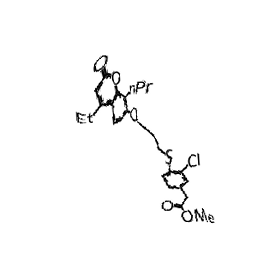 CCCc1c(OCCCSc2ccc(CC(=O)OC)cc2Cl)ccc2c(CC)cc(=O)oc12